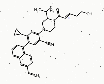 C=Cc1cnc2c(-c3cc(C#N)c(N4CCN(C(=O)/C=C/CCO)C(C(C)C)C4)nc3C3CC3)cccc2n1